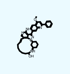 COc1cc(-c2ccccc2)nc2cc(-c3nn4c5c(cnc(N)c35)/C=C/CCCCCC(O)N[C@@H]3CCC[C@@H]4C3)ccc12